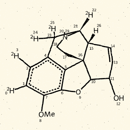 [2H]c1c([2H])c2c3c(c1OC)OC1C(O)C=C[C@@H]4[C@@]31CCN(C)[C@]4([2H])C2([2H])[2H]